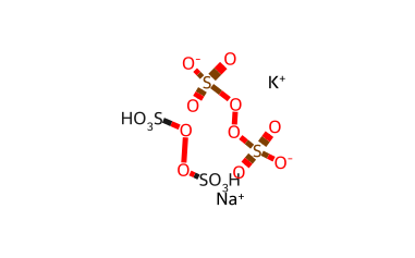 O=S(=O)(O)OOS(=O)(=O)O.O=S(=O)([O-])OOS(=O)(=O)[O-].[K+].[Na+]